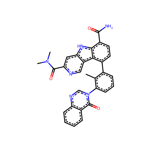 Cc1c(-c2ccc(C(N)=O)c3[nH]c4cc(C(=O)N(C)C)ncc4c23)cccc1-n1cnc2ccccc2c1=O